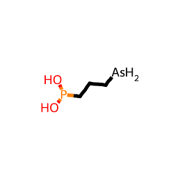 OP(O)CCC[AsH2]